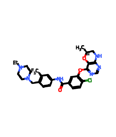 CCN1CCN(Cc2ccc(NC(=O)c3ccc(Cl)c(Oc4ncnc5c4O[C@@H](C)CN5)c3)cc2C(F)(F)F)CC1